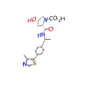 Cc1ncsc1-c1ccc(C(C)NC(=O)[C@@H]2C[C@H](O)CN2C(=O)O)cc1